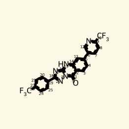 O=c1c2ccc(-c3ccc(C(F)(F)F)nc3)cc2[nH]c2nc(-c3ccc(C(F)(F)F)cc3)nn12